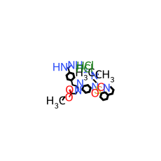 CCOC(=O)Cn1c(Cc2ccc(C(=N)N)cc2)nc2cc(N(CCN(C)C)S(=O)(=O)c3cccc4cccnc34)ccc21.Cl.Cl